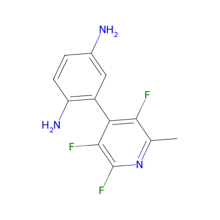 Cc1nc(F)c(F)c(-c2cc(N)ccc2N)c1F